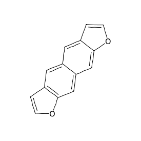 c1cc2cc3cc4ccoc4cc3cc2o1